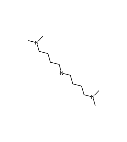 CN(C)CCCC[N]CCCCN(C)C